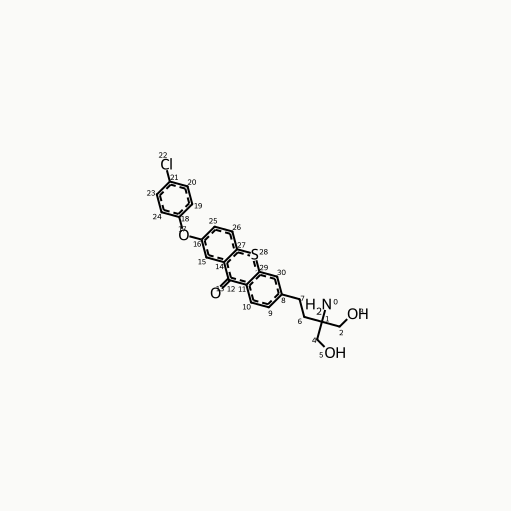 NC(CO)(CO)CCc1ccc2c(=O)c3cc(Oc4ccc(Cl)cc4)ccc3sc2c1